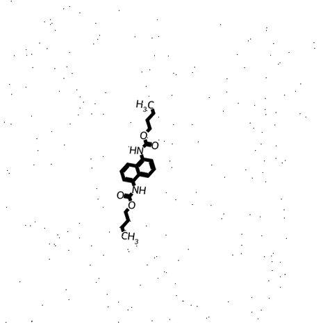 CCCCOC(=O)Nc1cccc2c(NC(=O)OCCCC)cccc12